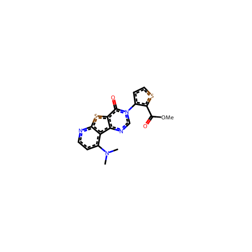 COC(=O)c1sccc1-n1cnc2c(sc3nccc(N(C)C)c32)c1=O